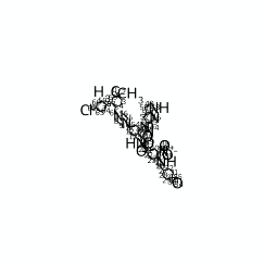 CC1(C)CCC(CN2CCN(c3ccc(C(=O)NS(=O)(=O)c4ccc(NCC5CCC6(CC5)COC6)c([N+](=O)[O-])c4)c(-n4ncc5nc6[nH]ccc6cc54)c3)CC2)=C(c2ccc(Cl)cc2)C1